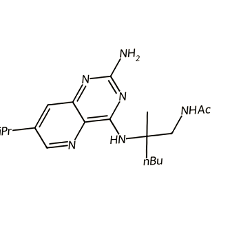 CCCCC(C)(CNC(C)=O)Nc1nc(N)nc2cc(C(C)C)cnc12